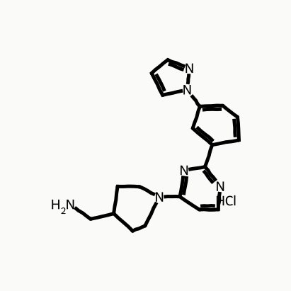 Cl.NCC1CCN(c2ccnc(-c3cccc(-n4cccn4)c3)n2)CC1